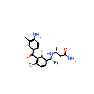 CC[C@@H](N[C@H](C)CC(N)=O)C1C=CC(Cl)=C(C(=O)C2C=CC(N)=C(C)C2)C1F